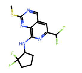 CSc1ncc2cc(C(F)F)nc(NC3CCCC3(F)F)c2n1